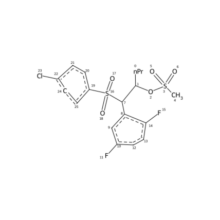 CCCC(OS(C)(=O)=O)C(c1cc(F)ccc1F)S(=O)(=O)c1ccc(Cl)cc1